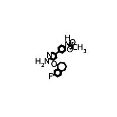 CS(=O)(=O)Nc1ccc(-c2cnc(N)c(OC3CCCCc4ccc(F)cc43)c2)cc1